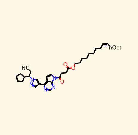 CCCCCCCC/C=C\CCCCCCCCOC(=O)CCC(=O)n1ccc2c(-c3cnn(C(CC#N)C4CCCC4)c3)ncnc21